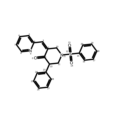 O=C1/C(=C\c2ccccn2)CN(S(=O)(=O)c2ccccc2)CC1c1ccccc1